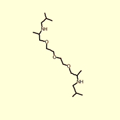 CC(C)CNC(C)COCCOCCOCC(C)NCC(C)C